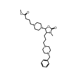 COC(=O)CCCN1CCN(C2OC(=O)N(C)C2CCCN2CCN(Cc3ccccc3)CC2)CC1